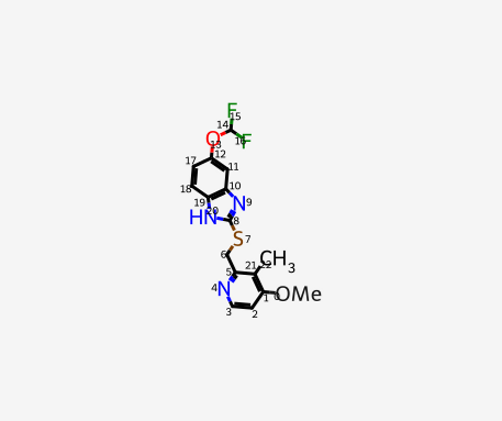 COc1ccnc(CSc2nc3cc(OC(F)F)ccc3[nH]2)c1C